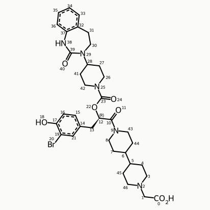 O=C(O)CN1CCC(C2CCN(C(=O)[C@@H](Cc3ccc(O)c(Br)c3)OC(=O)N3CCC(N4CCc5ccccc5NC4=O)CC3)CC2)CC1